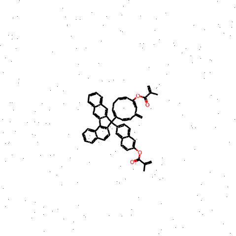 C=C1/C=C\C(C2(c3ccc4cc(OC(=O)C(=C)C)ccc4c3)c3cc4ccccc4cc3-c3c2ccc2ccccc32)=C/C/C=C\C(OC(=O)C(=C)C)=C/1